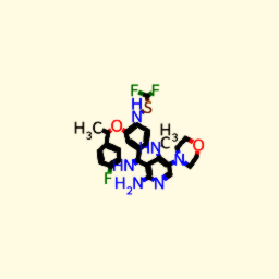 CNc1c(N2CCOCC2)cnc(N)c1C(=N)c1ccc(NSC(F)F)c(OC(C)c2ccc(F)cc2)c1